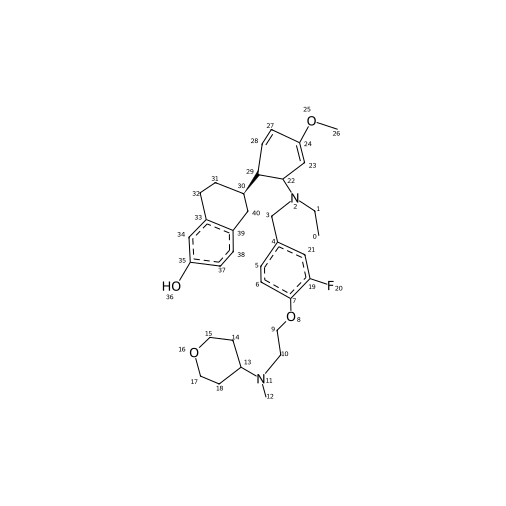 CCN(Cc1ccc(OCCN(C)C2CCOCC2)c(F)c1)C1C=C(OC)C=CC1[C@@H]1CCc2cc(O)ccc2C1